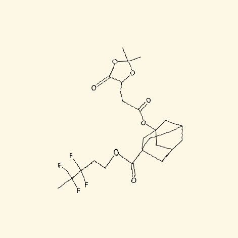 CC1(C)OC(=O)C(CC(=O)OC23CC4CC(C2)CC(C(=O)OCCC(F)(F)C(C)(F)F)(C4)C3)O1